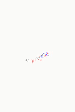 Cc1c(OCC(=O)OCc2ccccc2)ccc(C(=O)CN2C=C3C=CC(C(=N)NO)C(=O)C3C2)c1O